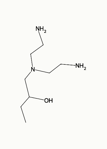 CCC(O)CN(CCN)CCN